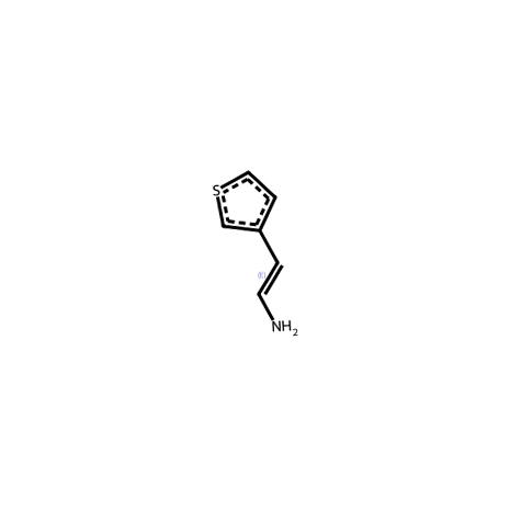 N/C=C/c1ccsc1